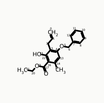 C=CCc1c(OCc2ccccc2)cc(C)c(C(=O)OCC)c1O